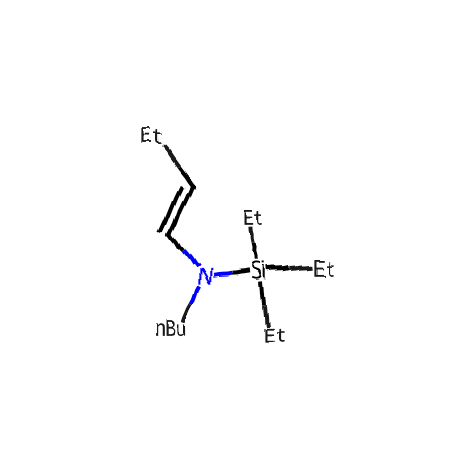 CCC=CN(CCCC)[Si](CC)(CC)CC